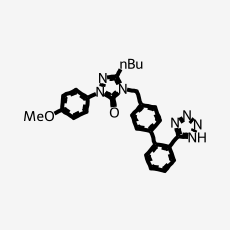 CCCCc1nn(-c2ccc(OC)cc2)c(=O)n1Cc1ccc(-c2ccccc2-c2nnn[nH]2)cc1